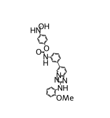 COc1ccccc1Nc1nc2ccc(-c3cccc(NC(=O)Oc4ccc(NO)cc4)c3)cn2n1